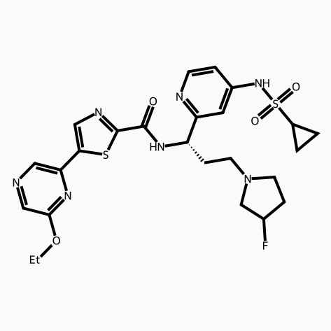 CCOc1cncc(-c2cnc(C(=O)N[C@@H](CCN3CCC(F)C3)c3cc(NS(=O)(=O)C4CC4)ccn3)s2)n1